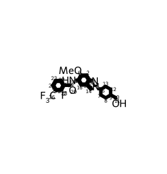 COc1cc2nn(C3CCC(CO)CC3)cc2cc1NC(=O)c1cccc(C(F)(F)F)c1F